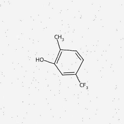 Cc1ccc(C(F)(F)F)cc1O